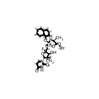 CC(C)OC(=O)[C@H](C)NP(=S)(OC[C@@]1(F)O[C@@H](n2ccc(=O)[nH]c2=O)[C@](C)(F)[C@@H]1O)Oc1cccc2ccccc12